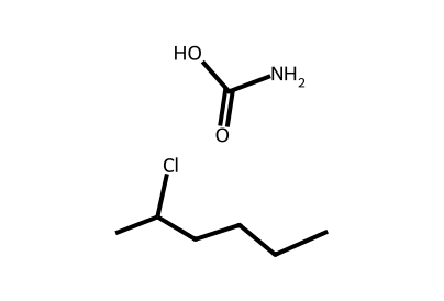 CCCCC(C)Cl.NC(=O)O